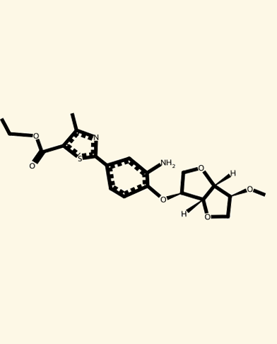 CCOC(=O)c1sc(-c2ccc(O[C@H]3CO[C@H]4[C@@H]3OC[C@@H]4OC)c(N)c2)nc1C